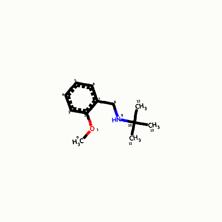 COc1ccccc1CNC(C)(C)C